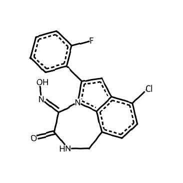 O=C1NCc2ccc(Cl)c3cc(-c4ccccc4F)n(c23)/C1=N\O